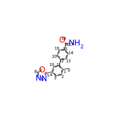 Cc1ccc(-c2nnco2)cc1-c1ccc(C(N)=O)cc1